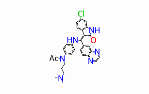 CC(=O)N(CCCN(C)C)c1ccc(NC(=C2C(=O)Nc3cc(Cl)ccc32)c2ccc3nccnc3c2)cc1